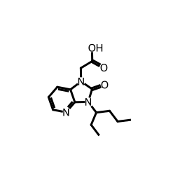 CCCC(CC)n1c(=O)n(CC(=O)O)c2cccnc21